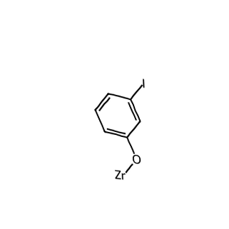 [Zr][O]c1cccc(I)c1